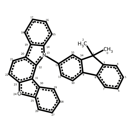 CC1(C)c2ccccc2-c2ccc(-n3c4ccccc4c4ccc5oc6ccccc6c5c43)cc21